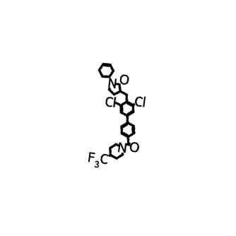 O=C(c1ccc(-c2cc(Cl)c(CC3CCN([C@H]4CC=CCC4)C3=O)c(Cl)c2)cc1)N1CCC(C(F)(F)F)CC1